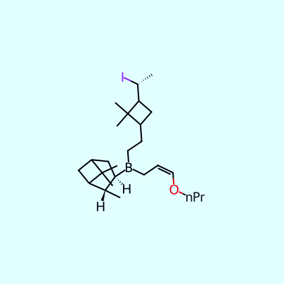 CCCO/C=C\CB(CCC1CC([C@@H](C)I)C1(C)C)[C@@H]1CC2CC([C@H]1C)C2(C)C